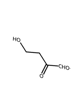 O=[C]C(=O)CCO